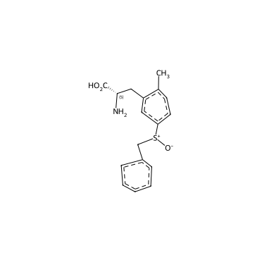 Cc1ccc([S+]([O-])Cc2ccccc2)cc1C[C@H](N)C(=O)O